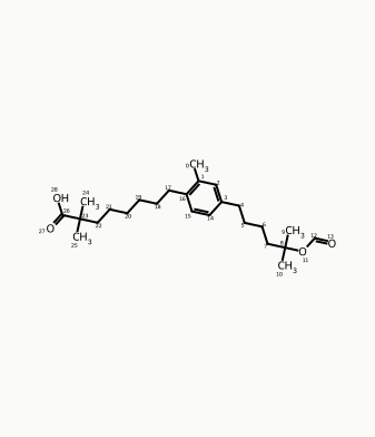 Cc1cc(CCCCC(C)(C)OC=O)ccc1CCCCCCC(C)(C)C(=O)O